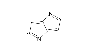 [C]1=NC2=CC=NC2=C1